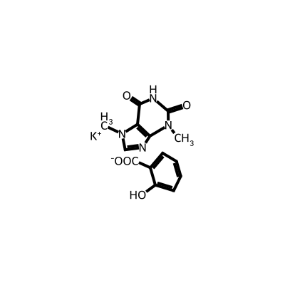 Cn1cnc2c1c(=O)[nH]c(=O)n2C.O=C([O-])c1ccccc1O.[K+]